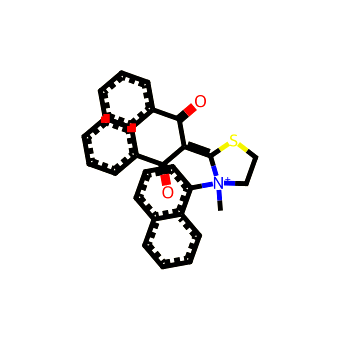 C[N+]1(c2cccc3ccccc23)CCSC1=C(C(=O)c1ccccc1)C(=O)c1ccccc1